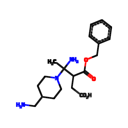 CC(N)(C(CC(=O)O)C(=O)OCc1ccccc1)N1CCC(CN)CC1